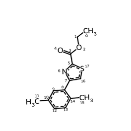 CCOC(=O)c1nc(-c2cc(C)ccc2C)cs1